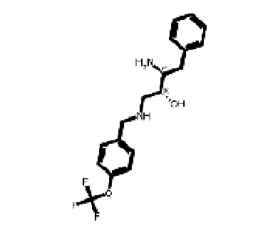 N[C@@H](Cc1ccccc1)[C@H](O)CNCc1ccc(OC(F)(F)F)cc1